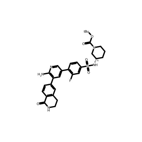 CC(C)(C)OC(=O)N1CCC[C@H](NS(=O)(=O)c2ccc(-c3cnc(N)c(-c4ccc5c(c4)CCNC5=O)c3)c(F)c2)C1